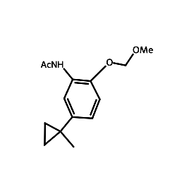 COCOc1ccc(C2(C)CC2)cc1NC(C)=O